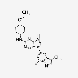 CCO[C@H]1CC[C@@H](Nc2ncc3c(-c4cc(F)c5ncc(C)n5c4)c[nH]c3n2)CC1